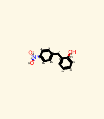 O=[N+]([O-])c1ccc(Cc2ccccc2O)cc1